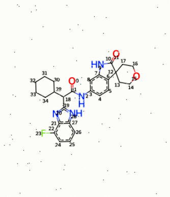 O=C(Nc1ccc2c(c1)NC(=O)C21CCOCC1)C(c1nc2c(F)cccc2[nH]1)C1CCCCC1